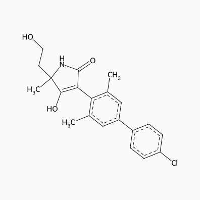 Cc1cc(-c2ccc(Cl)cc2)cc(C)c1C1=C(O)C(C)(CCO)NC1=O